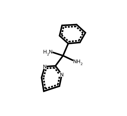 NC(N)(c1ccccc1)c1ncccn1